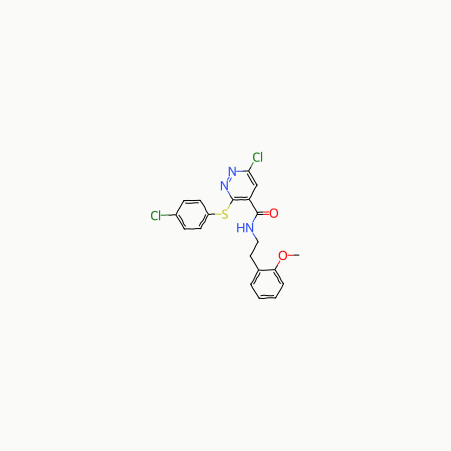 COc1ccccc1CCNC(=O)c1cc(Cl)nnc1Sc1ccc(Cl)cc1